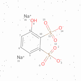 O=S(=O)([O-])c1cccc(O)c1S(=O)(=O)[O-].[Na+].[Na+]